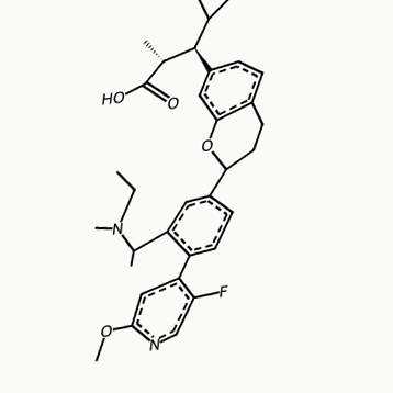 CCN(C)C(C)c1cc(C2CCc3ccc([C@H](C4CC4)[C@@H](C)C(=O)O)cc3O2)ccc1-c1cc(OC)ncc1F